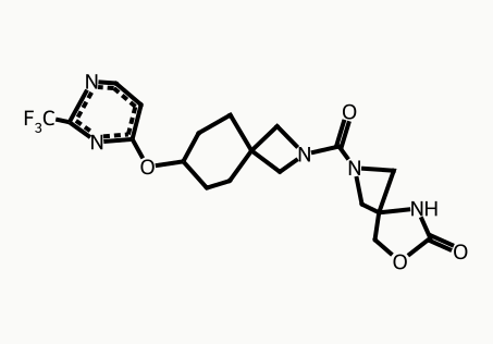 O=C1NC2(CO1)CN(C(=O)N1CC3(CCC(Oc4ccnc(C(F)(F)F)n4)CC3)C1)C2